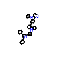 c1ccc(-c2cc(-c3ccccc3)nc(-c3cccc(-n4c5ccccc5c5c(-c6ccc7c8ncccc8n(-c8ccccc8)c7c6)cccc54)c3)c2)cc1